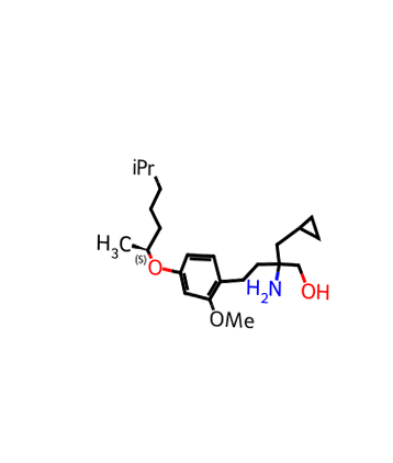 COc1cc(O[C@@H](C)CCCC(C)C)ccc1CCC(N)(CO)CC1CC1